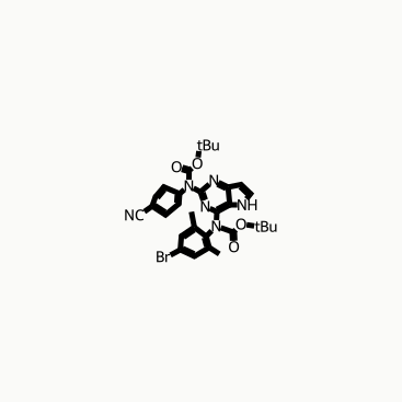 Cc1cc(Br)cc(C)c1N(C(=O)OC(C)(C)C)c1nc(N(C(=O)OC(C)(C)C)c2ccc(C#N)cc2)nc2cc[nH]c12